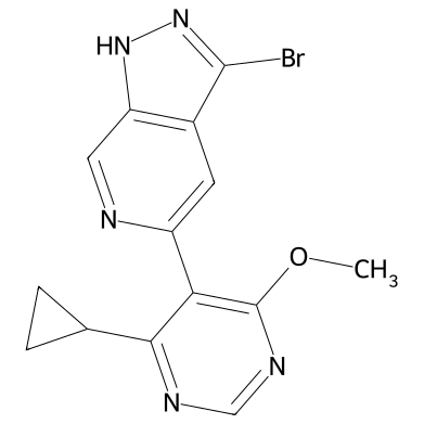 COc1ncnc(C2CC2)c1-c1cc2c(Br)n[nH]c2cn1